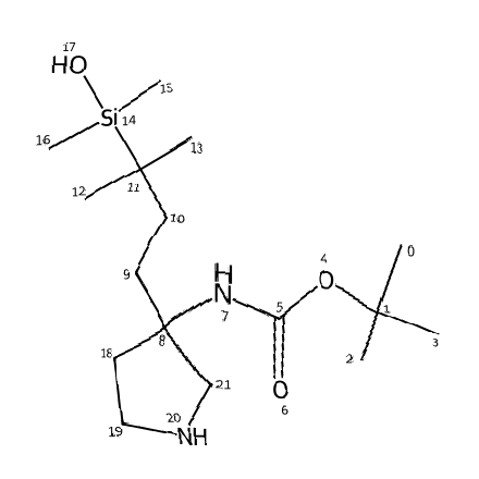 CC(C)(C)OC(=O)NC1(CCC(C)(C)[Si](C)(C)O)CCNC1